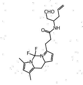 C=CCC(CC=O)NC(=O)CCC1=[N+]2C(C=C1)Cc1c(C)cc(C)n1C2(F)F